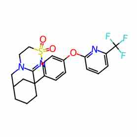 O=S1(=O)CCN2CC3CCCC(c4ccc(Oc5cccc(C(F)(F)F)n5)cc4)(C3)C2=N1